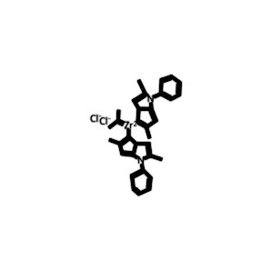 CC1=CC2C(=CC(C)=[C]2[Zr+2]([C]2=C(C)C=C3C2C=C(C)N3c2ccccc2)=[C](C)C)N1c1ccccc1.[Cl-].[Cl-]